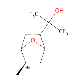 C[C@@H]1CC2OC1CC2C(O)(C(F)(F)F)C(F)(F)F